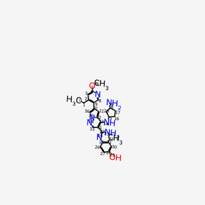 CCc1cc(OC)ncc1-c1cc2c(N[C@@H]3CC[C@H](N)C3)c(/C(N)=N/c3ccc(O)cc3C)cnn2c1